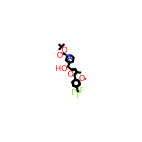 COc1cc(C(F)(F)F)ccc1-c1oc(C(O)C23CCC(CC2)N(C(=O)OC(C)(C)C)C3)cc1C